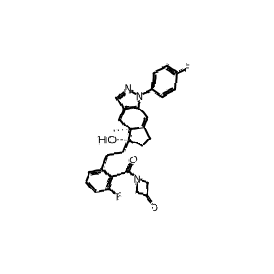 C[C@]12Cc3cnn(-c4ccc(F)cc4)c3C=C1CC[C@@]2(O)CCc1cccc(F)c1C(=O)N1CC(=O)C1